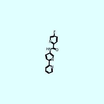 O=C(Nc1ccc(-c2ccccn2)nc1)c1ccc(F)cn1